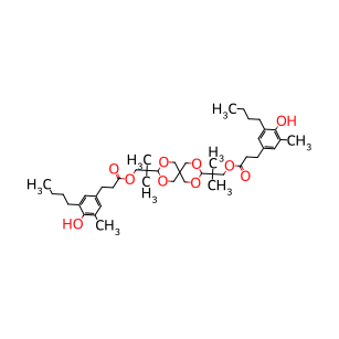 CCCCc1cc(CCC(=O)OCC(C)(C)C2OCC3(CO2)COC(C(C)(C)COC(=O)CCc2cc(C)c(O)c(CCCC)c2)OC3)cc(C)c1O